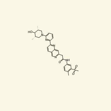 Cc1ccc(NC(=O)Cc2cc3nc(-c4cccc(N5C[C@@H](C)C(O)[C@@H](C)C5)n4)ccc3cn2)cc1S(C)(=O)=O